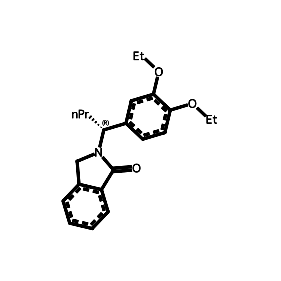 CCC[C@H](c1ccc(OCC)c(OCC)c1)N1Cc2ccccc2C1=O